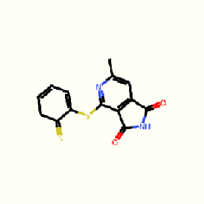 Cc1cc2c(c(SC3=CC=CCC3=S)n1)C(=O)NC2=O